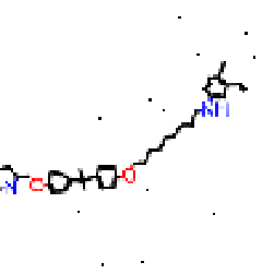 C=Cc1cc(NCCCCCCCCCOc2ccc(C(C)(C)c3ccc(OCc4ccnc(C)n4)cc3)cc2)ccc1C